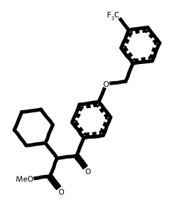 COC(=O)C(C(=O)c1ccc(OCc2cccc(C(F)(F)F)c2)cc1)C1CCCCC1